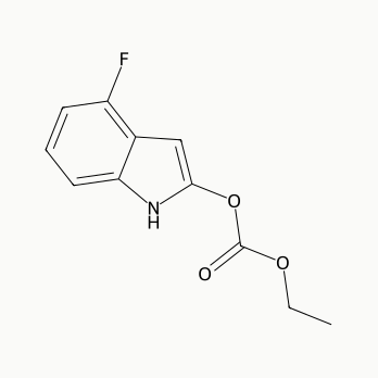 CCOC(=O)Oc1cc2c(F)cccc2[nH]1